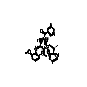 COc1cccc(OC)c1/N=C(/NNC(=O)c1cncc(C)c1)NS(=O)(=O)C[C@H](C)c1ncc(C)cn1